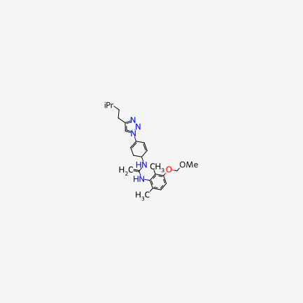 C=C(Nc1c(C)ccc(OCOC)c1C)NC1C=CC(n2cc(CCC(C)C)nn2)=CC1